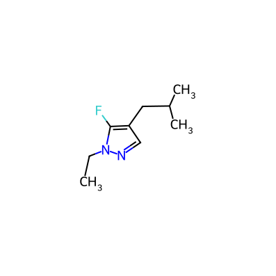 CCn1ncc(CC(C)C)c1F